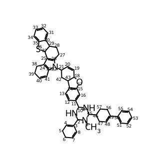 CN1C(C2=CCCC=C2)NC(c2ccc3c(c2)OC2C=CC(n4c5c(c6c4CCC4c7ccccc7SC64)CCC=C5)CC32)NC1C1CC=C(c2ccccc2)CC1